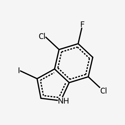 Fc1cc(Cl)c2[nH]cc(I)c2c1Cl